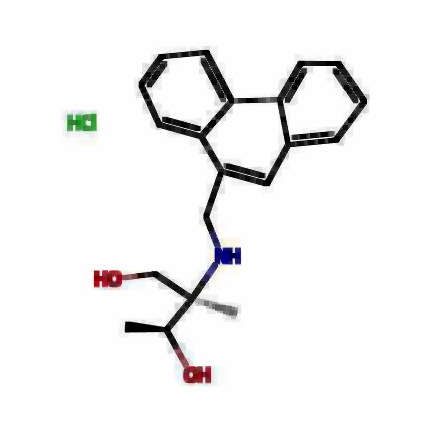 C[C@H](O)[C@@](C)(CO)NCc1cc2ccccc2c2ccccc12.Cl